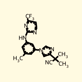 Cc1cc(Nc2nccc(C(F)(F)F)n2)cc(-n2cnc(C(C)(C)C#N)c2)c1